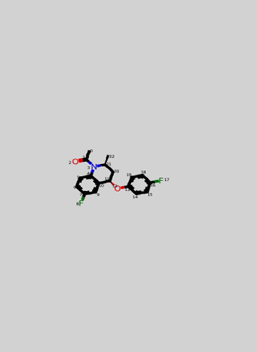 CC(=O)N1c2ccc(F)cc2[C@H](Oc2ccc(F)cc2)C[C@@H]1C